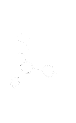 COCC(C)NC(=O)c1cc(-c2ccc(C)cc2)cc(-c2cnco2)c1